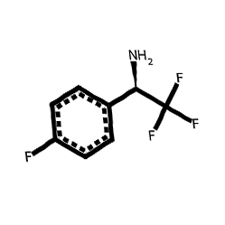 N[C@H](c1ccc(F)cc1)C(F)(F)F